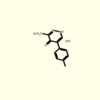 CCOC(=O)c1n[nH]cc(-c2ccc(C)cc2)c1=O.Cl